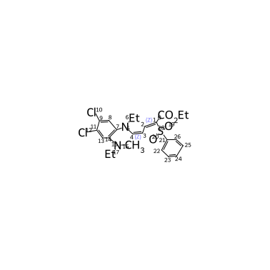 CCOC(=O)/C(=C/C=C\N(CC)c1cc(Cl)c(Cl)cc1N(C)CC)S(=O)(=O)c1ccccc1